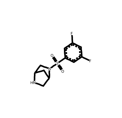 O=S(=O)(c1cc(F)cc(F)c1)N1CC2CC1CN2